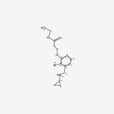 CCOC(=O)CCOc1cccc(CNC2CC2)c1Br